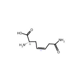 NC(=O)C/C=C\C[C@H](N)C(=O)O